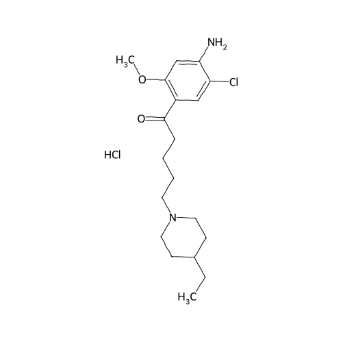 CCC1CCN(CCCCC(=O)c2cc(Cl)c(N)cc2OC)CC1.Cl